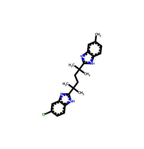 Cc1ccc2[nH]c(C(C)(C)CCC(C)(C)c3nc4cc(Cl)ccc4[nH]3)nc2c1